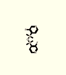 C[Si](C)(O[Si](C)(C)c1ccncc1F)c1ccncc1F